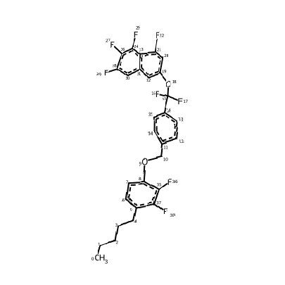 CCCCCc1ccc(OCc2ccc(C(F)(F)Oc3cc(F)c4c(F)c(F)c(F)cc4c3)cc2)c(F)c1F